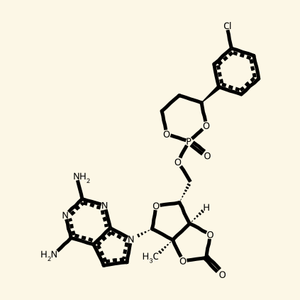 C[C@@]12OC(=O)O[C@@H]1[C@@H](COP1(=O)OCC[C@@H](c3cccc(Cl)c3)O1)O[C@H]2n1ccc2c(N)nc(N)nc21